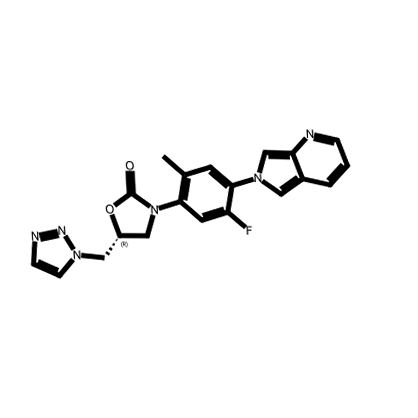 Cc1cc(-n2cc3cccnc3c2)c(F)cc1N1C[C@H](Cn2ccnn2)OC1=O